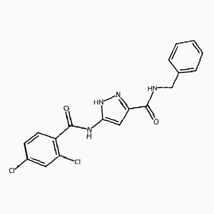 O=C(NCc1ccccc1)c1cc(NC(=O)c2ccc(Cl)cc2Cl)[nH]n1